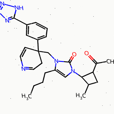 CCCCc1cn(C2C(C)CC2C(C)=O)c(=O)n1CC1(c2cccc(-c3nnn[nH]3)c2)C=CN=CC1